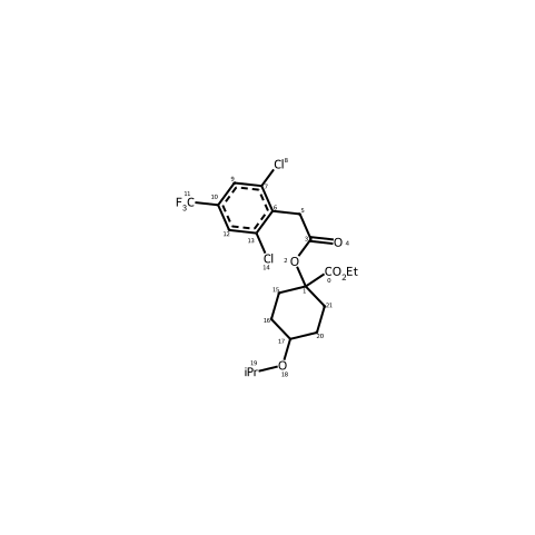 CCOC(=O)C1(OC(=O)Cc2c(Cl)cc(C(F)(F)F)cc2Cl)CCC(OC(C)C)CC1